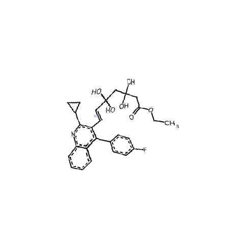 CCOC(=O)CC(O)(O)CC(O)(O)/C=C/c1c(C2CC2)nc2ccccc2c1-c1ccc(F)cc1